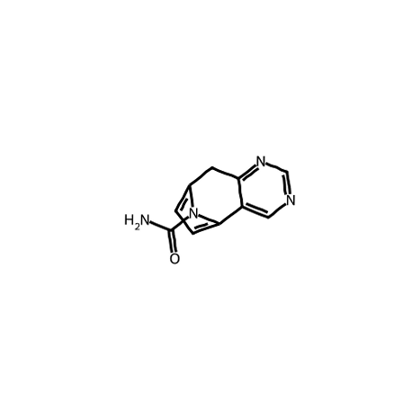 NC(=O)n1c2ccc1-c1cncnc1C2